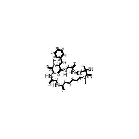 C=C(CCCCCNC(=C)C(C)(C)CC)NCC(=C)NCC(=C)NC(Cc1ccccc1)C(=C)NCC(=C)NCC